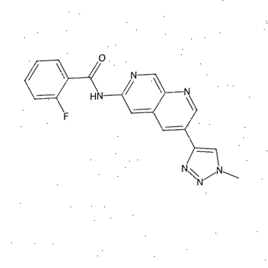 Cn1cc(-c2cnc3cnc(NC(=O)c4ccccc4F)cc3c2)nn1